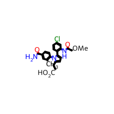 COCC(=O)Nc1cc(Cl)ccc1-c1ccc(CCC(=O)O)n1-c1ccc(C(N)=O)cc1C